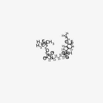 C[Si](C)(C)CCOCN1C(=O)CN(CCCCCS(=O)(=O)NC2CCc3c2ccc(F)c3OCC2CC2)C1=O